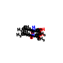 COc1cc(CNC(=O)CCCC/C=C/C(C)C)ccc1O.COc1cc(CNC(=O)CCCC/C=C/C(C)C)ccc1O